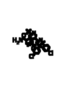 CCOc1nc(C(C)(C)C)ncc1C1=NC(C)(c2ccc(Cl)cc2)C(C)(c2ccc(Cl)cc2)N1C(=O)N1CCC(C(N)=O)CC1